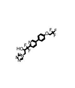 OC(Cn1cnnn1)C(F)(F)c1ccc(-c2ccc(OCC(F)(F)F)cc2)cn1